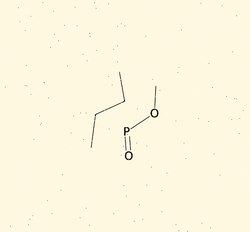 CCCC.COP=O